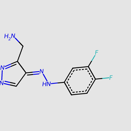 NCC1=NN=C/C1=N\Nc1ccc(F)c(F)c1